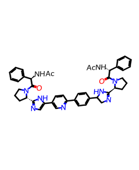 CC(=O)N[C@@H](C(=O)N1CCC[C@H]1C1=NCC(c2ccc(-c3ccc(-c4cnc([C@@H]5CCCN5C(=O)[C@H](NC(C)=O)c5ccccc5)[nH]4)cn3)cc2)N1)c1ccccc1